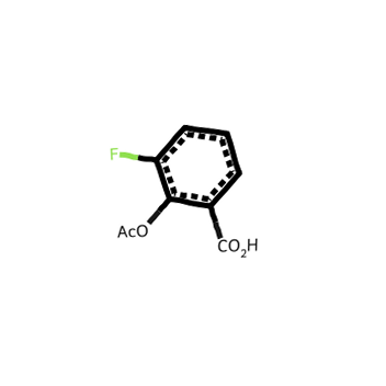 CC(=O)Oc1c(F)cccc1C(=O)O